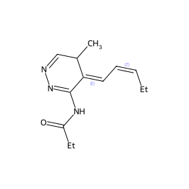 CC/C=C\C=C1\C(NC(=O)CC)=NN=CC1C